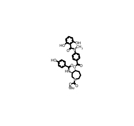 CN(C(=O)c1c(O)cccc1O)c1ccc(C(=O)O[C@@H]2CCCN(C(=O)OC(C)(C)C)C[C@H]2NC(=O)c2ccc(O)cc2)cc1